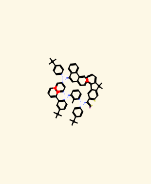 Cc1ccc(N(c2ccc(C(C)(C)C)cc2)c2cc3ccccc3c3ccccc23)cc1N(c1ccc(C(C)(C)C)cc1-c1ccccc1)c1cccc(N(c2ccc(C(C)(C)C)cc2)c2c(I)sc3cc4c(cc23)-c2ccccc2C4(C)C)c1C